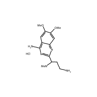 CNC(CCN)c1nc(N)c2cc(OC)c(OC)cc2n1.Cl